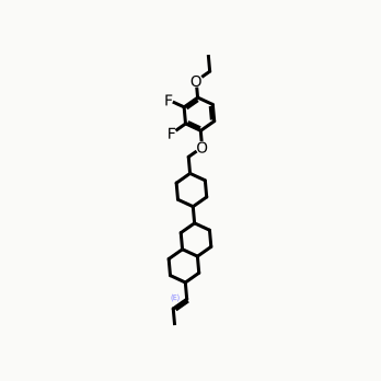 C/C=C/C1CCC2CC(C3CCC(COc4ccc(OCC)c(F)c4F)CC3)CCC2C1